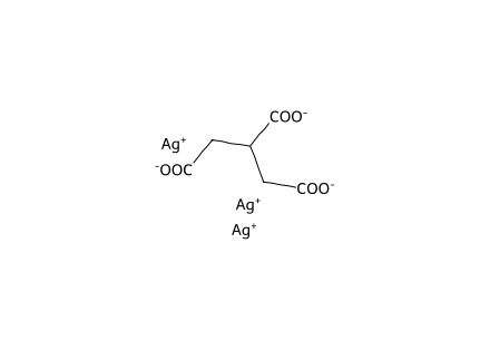 O=C([O-])CC(CC(=O)[O-])C(=O)[O-].[Ag+].[Ag+].[Ag+]